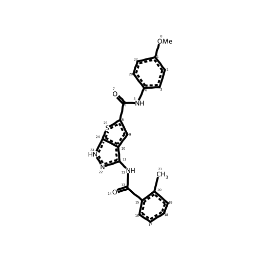 COc1ccc(NC(=O)c2cc3c(NC(=O)c4ccccc4C)n[nH]c3s2)cc1